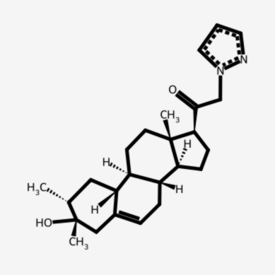 C[C@@H]1C[C@H]2C(=CC[C@@H]3[C@@H]2CC[C@]2(C)[C@@H](C(=O)Cn4cccn4)CC[C@@H]32)C[C@]1(C)O